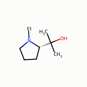 CCN1CCC[C@H]1C(C)(C)O